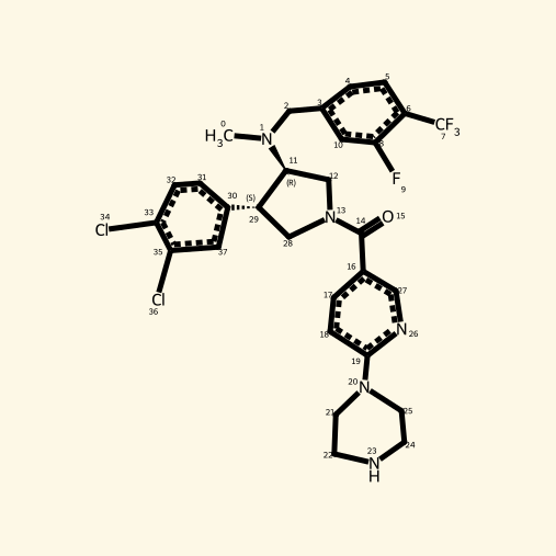 CN(Cc1ccc(C(F)(F)F)c(F)c1)[C@H]1CN(C(=O)c2ccc(N3CCNCC3)nc2)C[C@@H]1c1ccc(Cl)c(Cl)c1